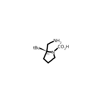 CC(C)(C)[C@]1(CN)CCCN1C(=O)O